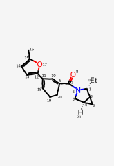 CC[C@@H]1C2C[C@H]2CN1C(=O)C1=CC(c2ccc(C)o2)=CCC1